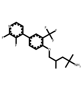 CC(COc1ccc(-c2ccnc(F)c2F)cc1C(F)(F)F)CC(C)(C)N